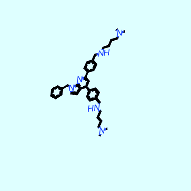 CN(C)CCCCNCc1ccc(-c2cc(-c3ccc(CNCCCCN(C)C)cc3)c3ccn(Cc4ccccc4)c3n2)cc1